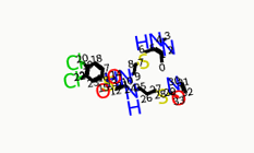 Cc1nc[nH]c1CSCCNC(=CS(=O)(=O)c1ccc(Cl)c(Cl)c1)NCCCSc1ncco1